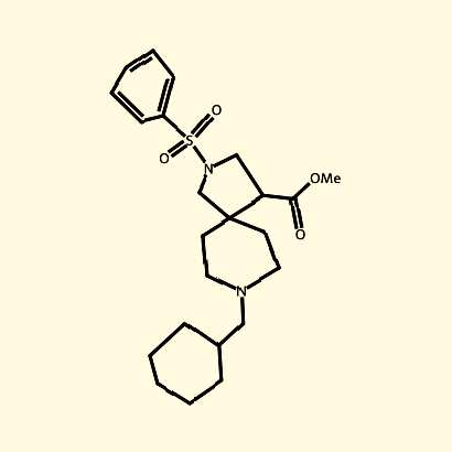 COC(=O)C1CN(S(=O)(=O)c2ccccc2)CC12CCN(CC1CCCCC1)CC2